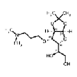 CN(C)CCCO[C@@H]1[C@H]2OC(C)(C)O[C@H]2O[C@@H]1[C@H](O)CO